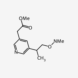 CNOCC(C)c1cncc(CC(=O)OC)c1